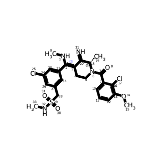 CN/C(=C1/CCN(C(=O)c2cccc(OC)c2Cl)[C@@H](C)C1=N)c1cc(Cl)cc(CS(=O)(=O)NC)c1